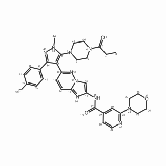 CCC(=O)N1CCN(c2c(-c3ccc4nc(NC(=O)c5ccnc(N6CCOCC6)c5)cn4n3)c(-c3ccc(F)cc3)nn2C)CC1